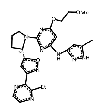 CCc1nccnc1-c1cc([C@@H]2CCCN2c2nc(Nc3cc(C)[nH]n3)cc(OCCOC)n2)on1